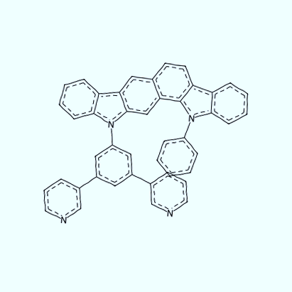 c1ccc(-n2c3ccccc3c3ccc4cc5c6ccccc6n(-c6cc(-c7cccnc7)cc(-c7cccnc7)c6)c5cc4c32)cc1